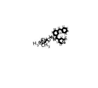 C[Si](C)(C)CCOCn1nc(-c2ccnc(F)c2)c2cc(Cc3ccccc3)ccc21